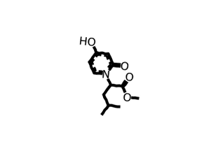 COC(=O)C(CC(C)C)n1ccc(O)cc1=O